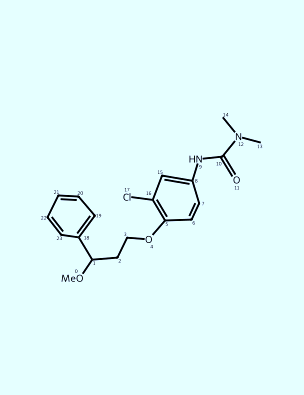 COC(CCOc1ccc(NC(=O)N(C)C)cc1Cl)c1ccccc1